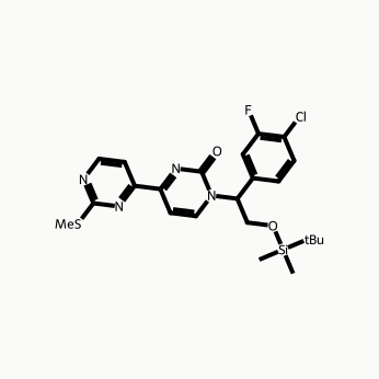 CSc1nccc(-c2ccn(C(CO[Si](C)(C)C(C)(C)C)c3ccc(Cl)c(F)c3)c(=O)n2)n1